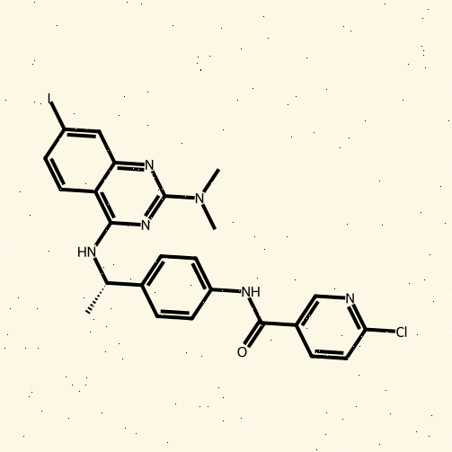 C[C@H](Nc1nc(N(C)C)nc2cc(I)ccc12)c1ccc(NC(=O)c2ccc(Cl)nc2)cc1